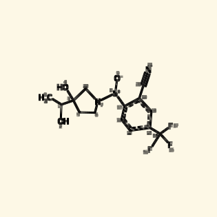 CC(O)C1(O)CCN([S+]([O-])c2ccc(C(F)(F)F)cc2C#N)C1